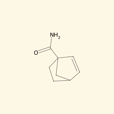 NC(=O)C12C=CC(CC1)C2